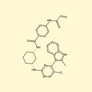 C=CC(=O)Nc1ccc(C(=O)N[C@H]2CCC[C@@H](Nc3ncc(Cl)c(-c4c(C)[nH]c5ccccc45)n3)C2)cc1